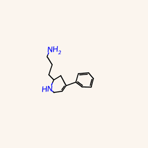 NCCCC1CC(c2ccccc2)=CCN1